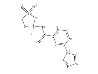 CC1(NC(=O)c2cc(-n3ccnc3)ccn2)CCS(=O)(=O)C1